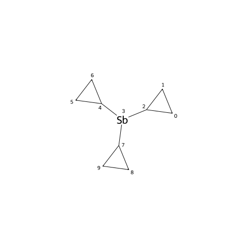 C1C[CH]1[Sb]([CH]1CC1)[CH]1CC1